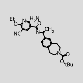 C=C(/N=C(\ON)c1cnc(OCC)c(C#N)c1)c1ccc2c(c1)CCN(C(=O)OC(C)(C)C)CC2